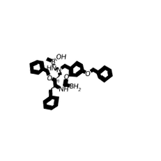 BC(=O)N[C@H](Cc1ccccc1)[C@@H](CN(Cc1ccc(OCc2ccccc2)cc1)NB(C)O)OCc1ccccc1